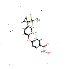 O=C(NO)c1ccc(Oc2ccc(C3(C(F)(F)C(F)(F)F)CC3)cc2)c(F)c1